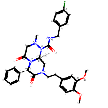 COc1ccc(CCN2C[C@H]3N(C(=O)CN(C)N3C(=O)NCc3ccc(F)cc3)[C@@H](c3ccccc3)C2=O)cc1OC